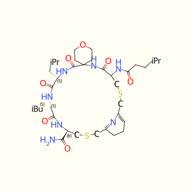 CC[C@H](C)[C@@H]1NC(=O)[C@H](CC(C)C)NC(=O)C2(CCOCC2)NC(=O)C(NC(=O)CCC(C)C)CSCC2=CCCC(=N2)CSC[C@@H](C(N)=O)NC1=O